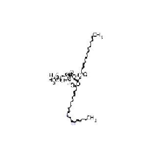 CCCCC/C=C\C/C=C\CCCCCCCCCC(=O)O[C@H](COC(=O)CCCCCCCCCCCCCC)COP(=O)([O-])OCC[N+](C)(C)C